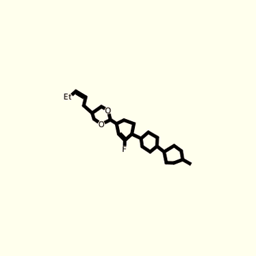 CC/C=C\CC1COC(C2C=C(F)C(C3CCC(C4CCC(C)CC4)CC3)CC2)OC1